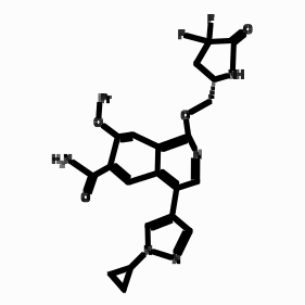 CC(C)Oc1cc2c(OC[C@@H]3CC(F)(F)C(=O)N3)ncc(-c3cnn(C4CC4)c3)c2cc1C(N)=O